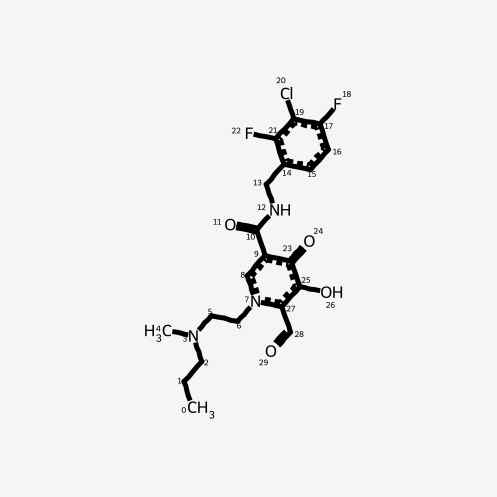 CCCN(C)CCn1cc(C(=O)NCc2ccc(F)c(Cl)c2F)c(=O)c(O)c1C=O